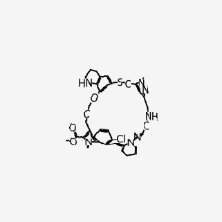 COC(=O)c1c2c3ccc(Cl)c(c3n1C)/C=C1\CCCCN1/N=C/CNCc1cc(n(C)n1)CSc1cc3c(c(c1)OCCC2)NCCC3